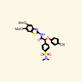 COc1cc2nc(NC(=O)C(Oc3ccc(C#N)cc3)c3ccc(S(=O)(=O)N(C)C)cc3)sc2cc1OC